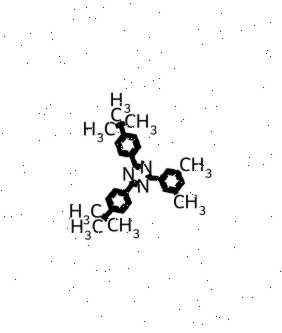 Cc1cc(C)cc(-c2nc(-c3ccc(C(C)(C)C)cc3)nc(-c3ccc(C(C)(C)C)cc3)n2)c1